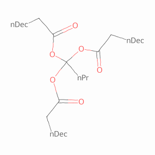 CCCCCCCCCCCC(=O)OC(CCC)(OC(=O)CCCCCCCCCCC)OC(=O)CCCCCCCCCCC